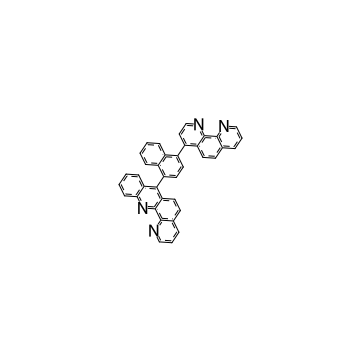 c1cnc2c(c1)ccc1c(-c3ccc(-c4c5ccccc5nc5c4ccc4cccnc45)c4ccccc34)ccnc12